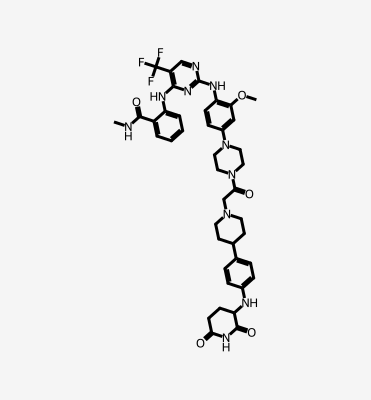 CNC(=O)c1ccccc1Nc1nc(Nc2ccc(N3CCN(C(=O)CN4CCC(c5ccc(NC6CCC(=O)NC6=O)cc5)CC4)CC3)cc2OC)ncc1C(F)(F)F